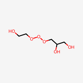 OCCOOOCC(O)CO